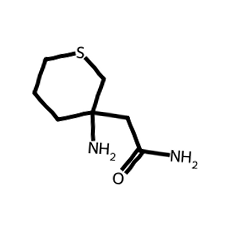 NC(=O)CC1(N)CCCSC1